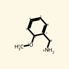 COC1C=C=CC=C1CN